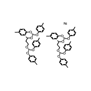 Cc1ccc(OP(OCCC(C)OP(Oc2ccc(C)cc2)Oc2ccc(C)cc2)Oc2ccc(C)cc2)cc1.Cc1ccc(OP(OCCC(C)OP(Oc2ccc(C)cc2)Oc2ccc(C)cc2)Oc2ccc(C)cc2)cc1.[Ni]